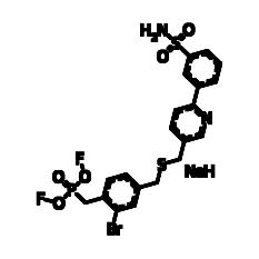 NS(=O)(=O)c1cccc(-c2ccc(CSCc3ccc(CP(=O)(OF)OF)c(Br)c3)cn2)c1.[NaH]